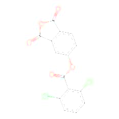 O=C1OC(=O)c2cc(OC(=O)c3c(Cl)cccc3Cl)ccc21